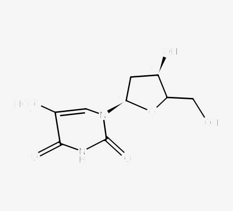 O=C(O)c1cn([C@H]2C[C@@H](O)C(CO)O2)c(=O)[nH]c1=O